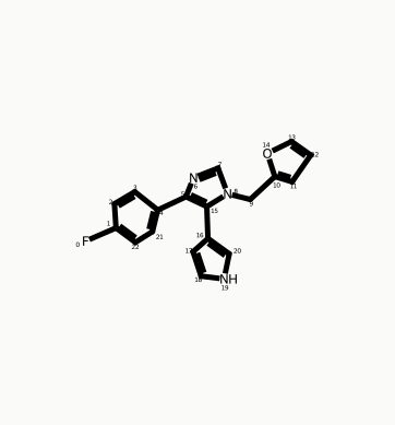 Fc1ccc(-c2ncn(Cc3ccco3)c2-c2cc[nH]c2)cc1